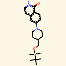 CC(C)(C)[Si](C)(C)OCC1CCN(c2ccc3c(=O)[nH]ccc3c2)CC1